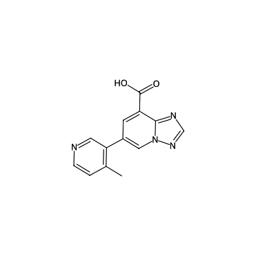 Cc1ccncc1-c1cc(C(=O)O)c2ncnn2c1